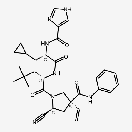 C=C[C@]1(C(=O)Nc2ccccc2)C[C@@H](C#N)N(C(=O)[C@H](CC(C)(C)C)NC(=O)[C@H](CC2CC2)NC(=O)c2c[nH]cn2)C1